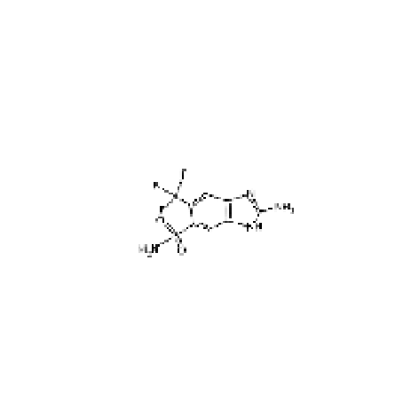 Nc1nc2cc(C(F)(F)F)c(S(N)(=O)=O)cc2[nH]1